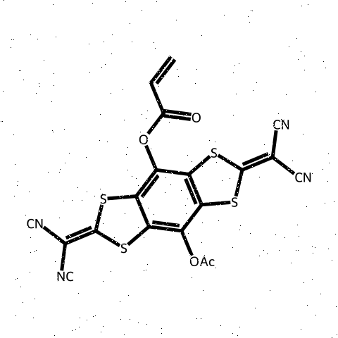 [C-]#[N+]C([N+]#[C-])=C1Sc2c(OC(C)=O)c3c(c(OC(=O)C=C)c2S1)SC(=C(C#N)C#N)S3